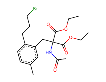 CCOC(=O)C(Cc1cc(C)ccc1CCCBr)(NC(C)=O)C(=O)OCC